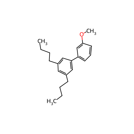 CCCCc1cc(CCCC)cc(-c2cccc(OC)c2)c1